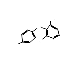 Cc1ccc(Oc2c(C#N)cccc2C#N)cc1